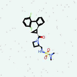 CN(C)S(=O)(=O)NC[C@H]1CCN1C(=O)[C@@H]1C[C@H]1c1ccccc1-c1c(F)cccc1F